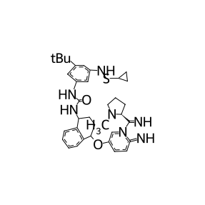 CN1CCC[C@H]1C(=N)n1cc(OC2CCC(NC(=O)Nc3cc(NSC4CC4)cc(C(C)(C)C)c3)c3ccccc32)ccc1=N